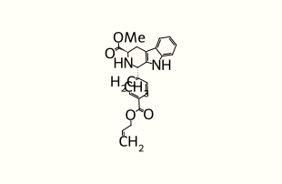 C=CCOC(=O)C(/C=C\C(=C)[C@@H]1N[C@@H](C(=O)OC)Cc2c1[nH]c1ccccc21)=C/C